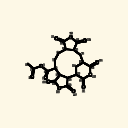 CC(=O)OC(=O)C1CCC2C(=O)OC(=O)C2CC2CC(C(=O)OC2=O)C2C(=O)OC(=O)C12